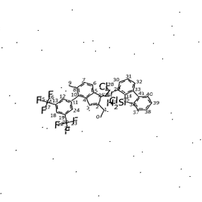 CCC1=Cc2c(ccc(C)c2-c2cc(C(F)(F)F)cc(C(F)(F)F)c2)[CH]1[Zr]([Cl])([Cl])[c]1cccc2c1[SiH2]c1ccccc1-2